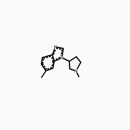 Cc1ccc2ncn(C3CCN(C)C3)c2c1